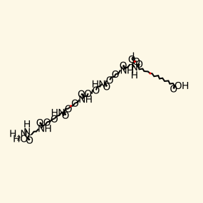 NN[C@@H](CCCCNC(=O)COCCOCCNC(=O)COCCOCCNC(=O)COCCOCCNC(=O)COCCOCCNC(=O)CC[C@H](NC(=O)CCCCCCCCCCCCCCC(=O)O)C(=O)OI)C(=O)O